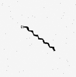 C=CCCCCCC=CCC=CCC